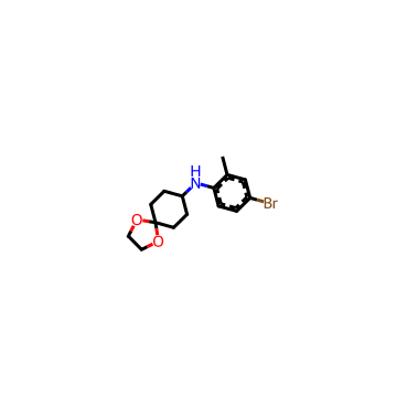 Cc1cc(Br)ccc1NC1CCC2(CC1)OCCO2